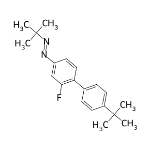 CC(C)(C)N=Nc1ccc(-c2ccc(C(C)(C)C)cc2)c(F)c1